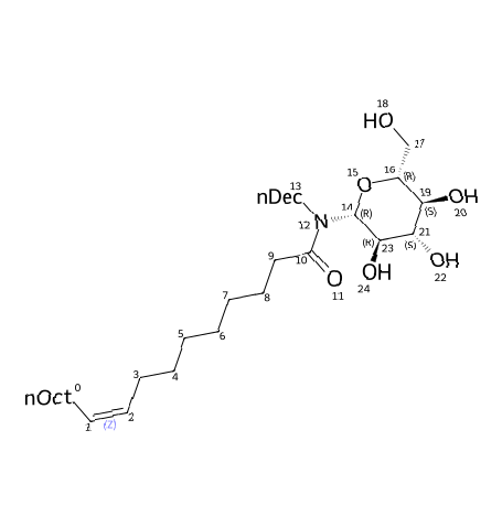 CCCCCCCC/C=C\CCCCCCCC(=O)N(CCCCCCCCCC)[C@@H]1O[C@H](CO)[C@@H](O)[C@H](O)[C@H]1O